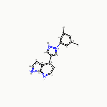 Cc1cc(C)cc(-n2cc(-c3ccnc4[nH]ccc34)cn2)c1